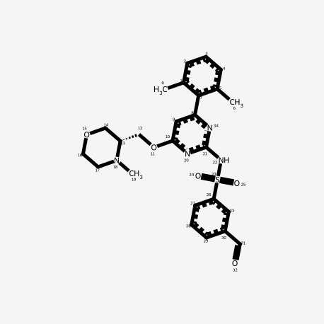 Cc1cccc(C)c1-c1cc(OC[C@H]2COCCN2C)nc(NS(=O)(=O)c2cccc(C=O)c2)n1